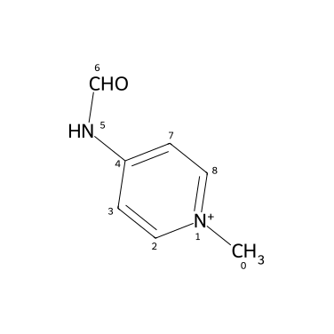 C[n+]1ccc(NC=O)cc1